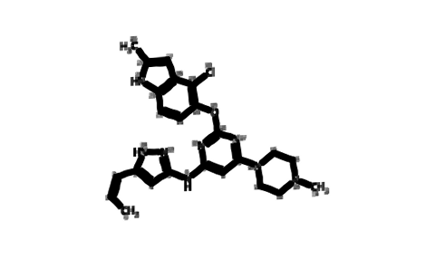 C/C=C\c1cc(Nc2cc(N3CCN(C)CC3)nc(Oc3ccc4[nH]c(C)cc4c3Cl)n2)n[nH]1